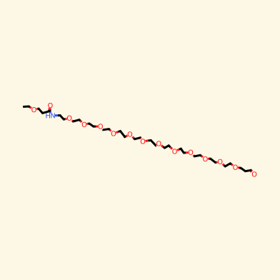 CCOCCC(=O)NCCOCCOCCOCCOCCOCCOCCOCCOCCOCCOCCOCCOCCC=O